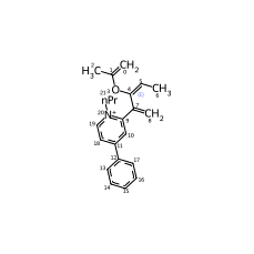 C=C(C)O/C(=C/C)C(=C)c1cc(-c2ccccc2)cc[n+]1CCC